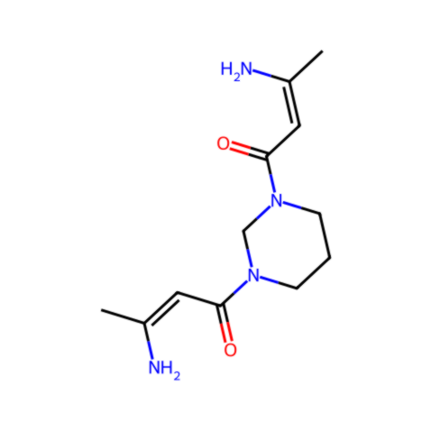 C/C(N)=C/C(=O)N1CCCN(C(=O)/C=C(/C)N)C1